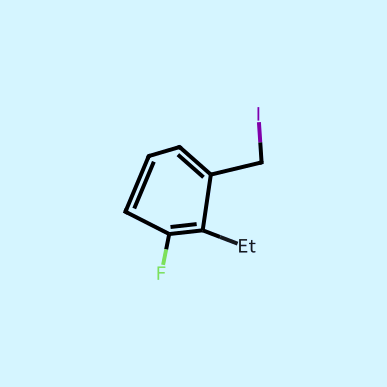 CCc1c(F)cccc1CI